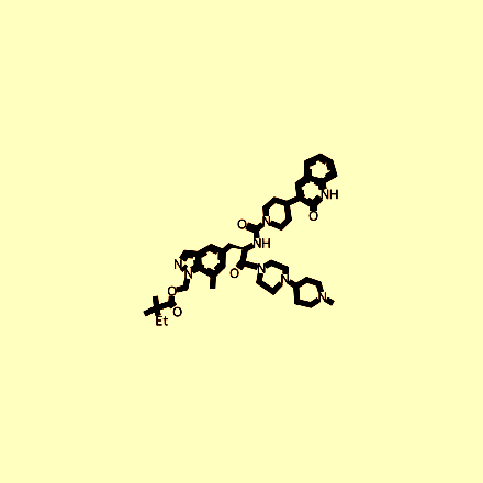 CCC(C)(C)C(=O)OCn1ncc2cc(C[C@@H](NC(=O)N3CCC(c4cc5ccccc5[nH]c4=O)CC3)C(=O)N3CCN(C4CCN(C)CC4)CC3)cc(C)c21